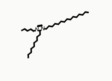 CCCCCCCCCCCCCCCN1C=CN(CCCCC)C1CCCCCCCCC